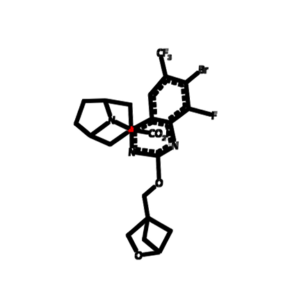 O=C(O)N1CC2CCC(C1)N2c1nc(OCC23COC(C2)C3)nc2c(F)c(Br)c(C(F)(F)F)cc12